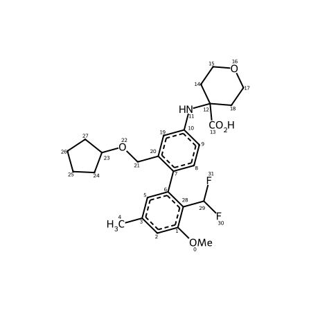 COc1cc(C)cc(-c2ccc(NC3(C(=O)O)CCOCC3)cc2COC2CCCC2)c1C(F)F